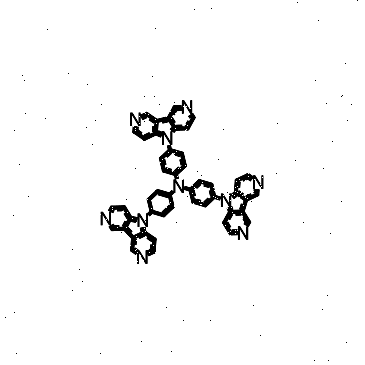 C1=CC(n2c3ccncc3c3cnccc32)CC=C1N(c1ccc(-n2c3ccncc3c3cnccc32)cc1)c1ccc(-n2c3ccncc3c3cnccc32)cc1